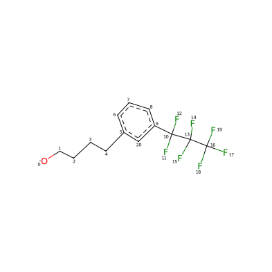 [O]CCCCc1cccc(C(F)(F)C(F)(F)C(F)(F)F)c1